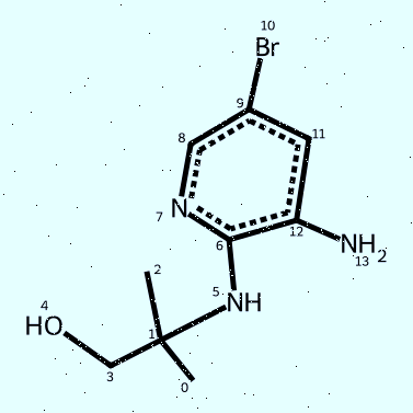 CC(C)(CO)Nc1ncc(Br)cc1N